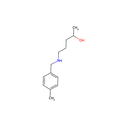 Cc1ccc(CNCCCC(C)O)cc1